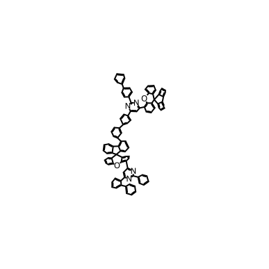 c1ccc(-c2ccc(-c3nc(-c4ccc(-c5cccc(-c6cccc7c6-c6ccccc6C76c7ccccc7Oc7c(-c8cc(-c9ccccc9-c9ccccc9)nc(-c9ccccc9)n8)cccc76)c5)cc4)cc(-c4cccc5c4Oc4ccccc4C54c5ccccc5-c5ccccc54)n3)cc2)cc1